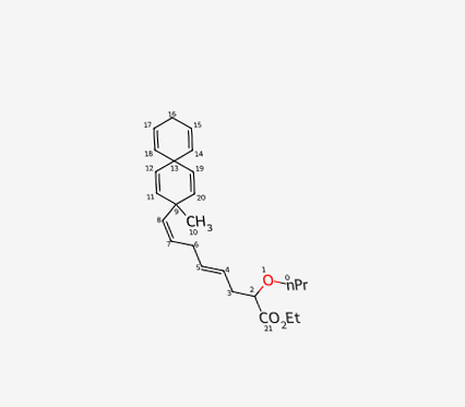 CCCOC(C/C=C/C/C=C\C1(C)C=CC2(C=CCC=C2)C=C1)C(=O)OCC